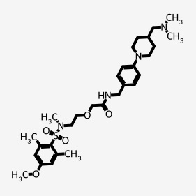 COc1cc(C)c(S(=O)(=O)N(C)CCOCC(=O)NCc2ccc(N3CCC(CN(C)C)CC3)cc2)c(C)c1